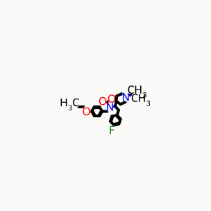 CCCOc1ccc(CN2C(=O)OC3(CCN(C(C)C)CC3)C2Cc2ccc(F)cc2)cc1